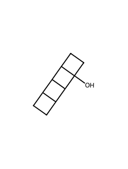 OC12CCC1C1C3CCC3C12